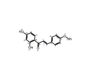 CC(C)Oc1ccc(/C=C/C(=O)c2ccc(O)cc2O)cc1